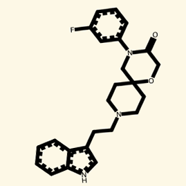 O=C1COC2(CCN(CCc3c[nH]c4ccccc34)CC2)CN1c1cccc(F)c1